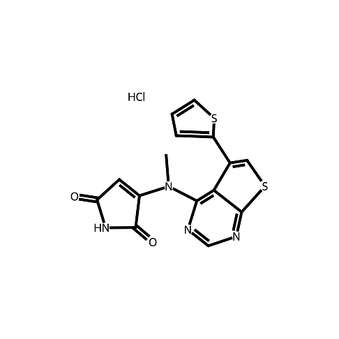 CN(C1=CC(=O)NC1=O)c1ncnc2scc(-c3cccs3)c12.Cl